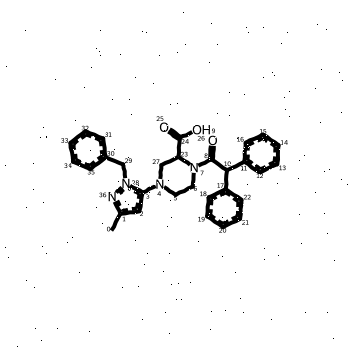 Cc1cc(N2CCN(C(=O)C(c3ccccc3)c3ccccc3)C(C(=O)O)C2)n(Cc2ccccc2)n1